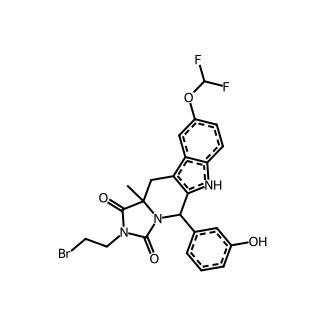 CC12Cc3c([nH]c4ccc(OC(F)F)cc34)C(c3cccc(O)c3)N1C(=O)N(CCBr)C2=O